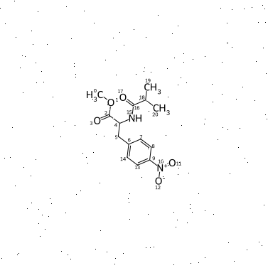 COC(=O)C(Cc1ccc([N+](=O)[O-])cc1)NC(=O)C(C)C